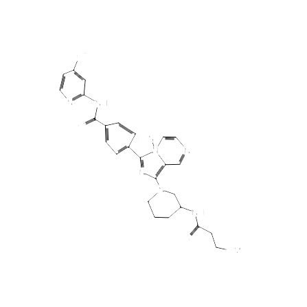 COCCC(=O)NC1CCCN(C2=C3C=NC=C[N+]3(N)C(c3ccc(C(=O)Nc4cc(C(F)(F)F)ccn4)cc3)=N2)C1